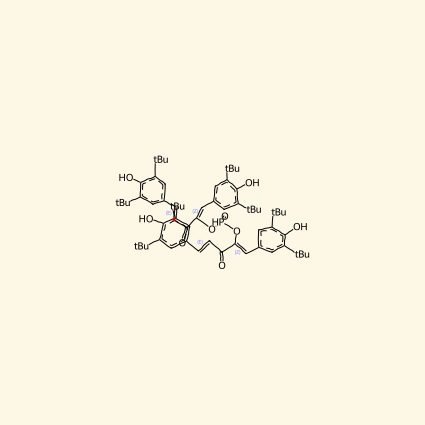 CC(C)(C)c1cc(/C=C(\O[PH](=O)O/C(=C\c2cc(C(C)(C)C)c(O)c(C(C)(C)C)c2)C(=O)/C=C/c2cc(C(C)(C)C)c(O)c(C(C)(C)C)c2)C(=O)/C=C/c2cc(C(C)(C)C)c(O)c(C(C)(C)C)c2)cc(C(C)(C)C)c1O